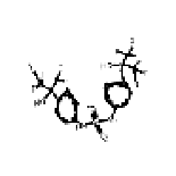 O=S(=O)(Nc1ccc(C(O)(C(F)(F)F)C(F)(F)F)cc1)Nc1ccc(C(O)(C(F)(F)F)C(F)(F)F)cc1